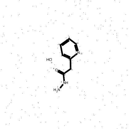 Cl.NNC(=O)Cc1ccccn1